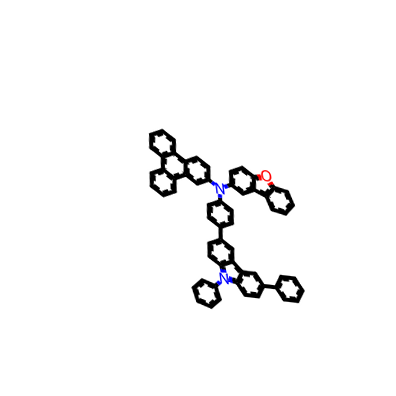 c1ccc(-c2ccc3c(c2)c2cc(-c4ccc(N(c5ccc6oc7ccccc7c6c5)c5ccc6c7ccccc7c7ccccc7c6c5)cc4)ccc2n3-c2ccccc2)cc1